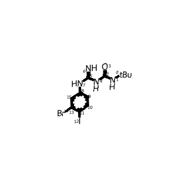 CC(C)(C)NC(=O)NC(=N)Nc1ccc(I)c(Br)c1